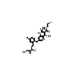 CN(CC#N)C(=O)CCc1cc(F)ccc1Cc1cnc2c(O)c(C(=O)NCCO)c(=O)n(C)c2c1